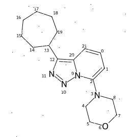 c1cc(N2CCOCC2)n2nnc(C3CCCCCC3)c2c1